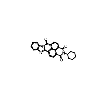 O=C1c2ccc3c(=O)n4c5ccccc5nc4c4ccc(c2c34)C(=O)N1C1CCCCC1